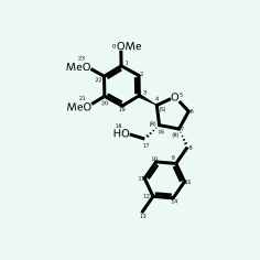 COc1cc([C@H]2OC[C@H](Cc3ccc(C)cc3)[C@@H]2CO)cc(OC)c1OC